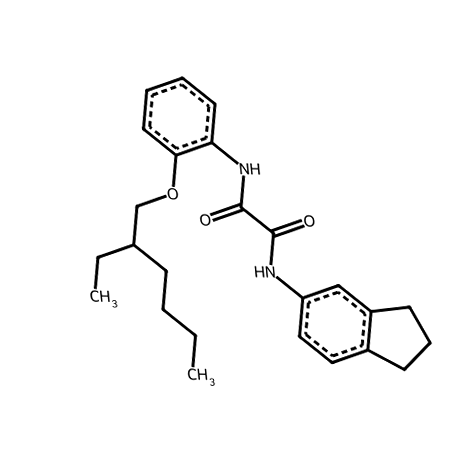 CCCCC(CC)COc1ccccc1NC(=O)C(=O)Nc1ccc2c(c1)CCC2